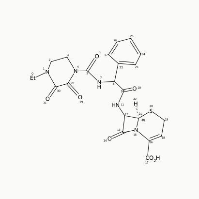 CCN1CCN(C(=O)NC(C(=O)NC2C(=O)N3C(C(=O)O)=CCS[C@H]23)c2ccccc2)C(=O)C1=O